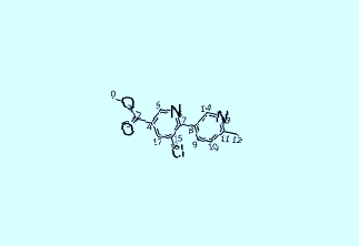 COC(=O)c1cnc(-c2ccc(C)nc2)c(Cl)c1